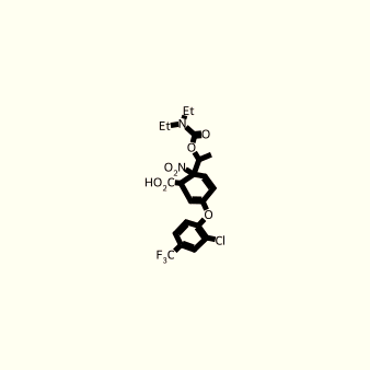 CCN(CC)C(=O)OC(C)C1([N+](=O)[O-])C=CC(Oc2ccc(C(F)(F)F)cc2Cl)=CC1C(=O)O